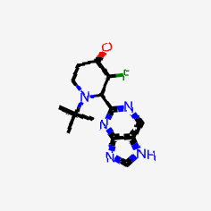 CC(C)(C)N1CCC(=O)C(F)C1c1ncc2[nH]cnc2n1